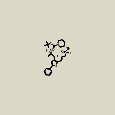 CC(C)(C)OC(=O)N1CCC[C@H](NS(=O)(=O)CC=Cc2sc(-c3ccccc3)cc2NC(N)=O)C1